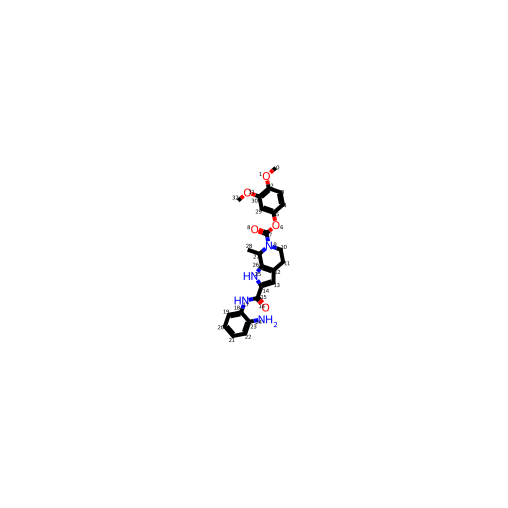 COc1ccc(OC(=O)N2CCc3cc(C(=O)Nc4ccccc4N)[nH]c3C2C)cc1OC